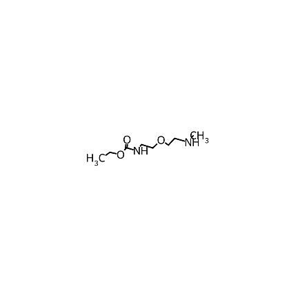 CCOC(=O)NCCOCCNC